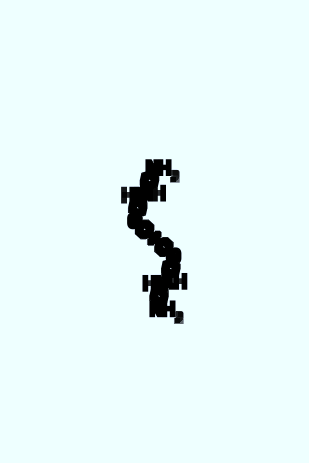 CC(C)(c1ccc(Oc2ccc(NNc3ccc(N)cc3)cc2)cc1)c1ccc(Oc2ccc(NNc3ccc(N)cc3)cc2)cc1